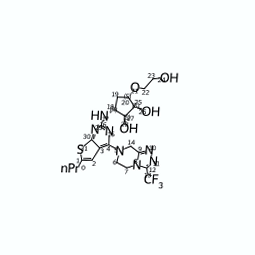 CCCc1cc2c(N3CCn4c(nnc4C(F)(F)F)C3)nc(N[C@@H]3C[C@H](OCCO)[C@@H](O)[C@H]3O)nc2s1